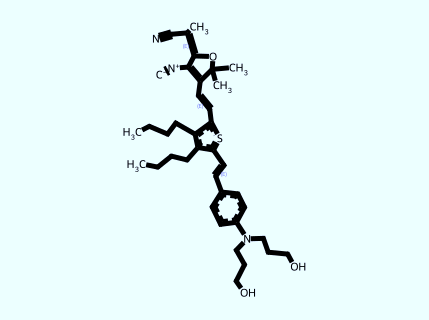 [C-]#[N+]C1=C(/C=C/c2sc(/C=C/c3ccc(N(CCCO)CCCO)cc3)c(CCCC)c2CCCC)C(C)(C)O/C1=C(\C)C#N